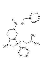 CN(C)CCC1(c2ccccc2)OC(=O)C2=C1CN(C(=O)NCc1ccccc1)CC2